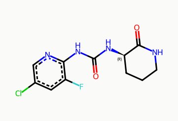 O=C(Nc1ncc(Cl)cc1F)N[C@@H]1CCCNC1=O